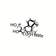 CNC[C@@H]1OCCc2cccc(F)c21.O=C(O)CC(O)C(=O)O